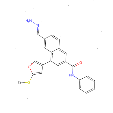 CCSc1cc(-c2cc(C(=O)Nc3ccccc3)cc3ccc(C=NN)cc23)co1